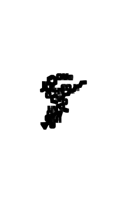 C=CCCCCCC(NC(=O)O)C(=O)N1C[C@H](Oc2nc3cc(OC)ccc3nc2C)C[C@H]1C(=O)N[C@]1(C(=O)NS(=O)(=O)C2CC2)C[C@H]1C=C